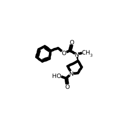 CN(C(=O)OCc1ccccc1)[C@H]1CCN(C(=O)O)C1